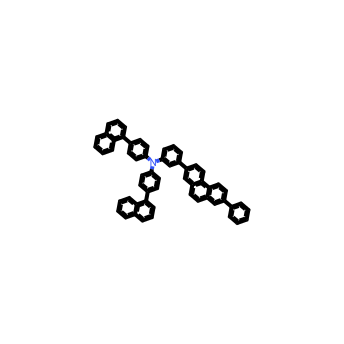 c1ccc(-c2ccc3c(ccc4cc(-c5cccc(N(c6ccc(-c7cccc8ccccc78)cc6)c6ccc(-c7cccc8ccccc78)cc6)c5)ccc43)c2)cc1